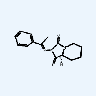 C/C(=N\N1C(=O)[C@@H]2CCCCN2C1=O)c1ccccc1